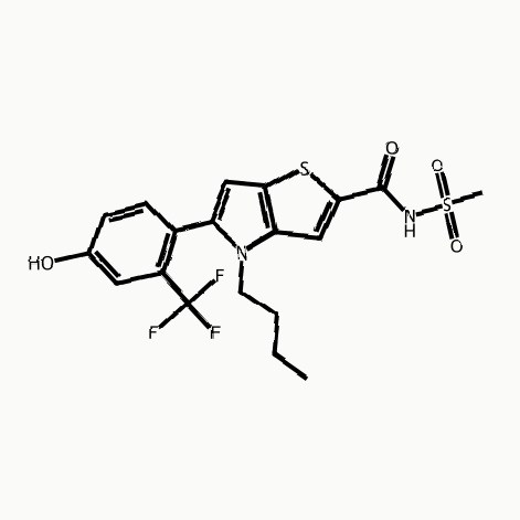 CCCCn1c(-c2ccc(O)cc2C(F)(F)F)cc2sc(C(=O)NS(C)(=O)=O)cc21